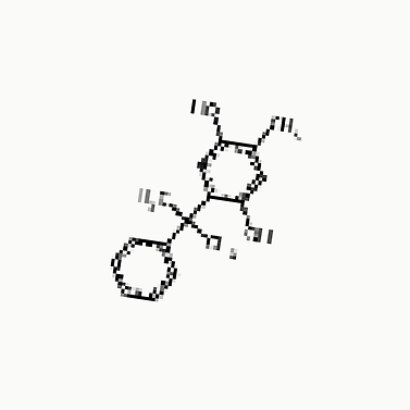 Cc1cc(O)c(C(C)(C)c2ccccc2)cc1O